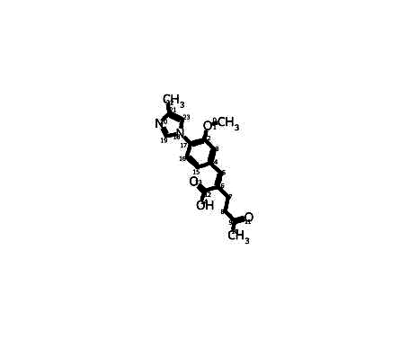 COc1cc(/C=C(/CCC(C)=O)C(=O)O)ccc1-n1cnc(C)c1